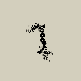 COC(=O)N[C@H](C(=O)N[C@@H](CC1CC1)c1ncc(-c2ccc(-c3ccc4cc(-c5cnc([C@H](CC6CC6)NC(=O)[C@@H](NC(=O)OC)C(C)C)[nH]5)ccc4c3)cc2)[nH]1)C(C)C